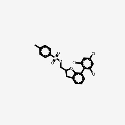 Cc1ccc(S(=O)(=O)OCC2Cc3cccc(-c4c(Cl)cc(Cl)cc4Cl)c3O2)cc1